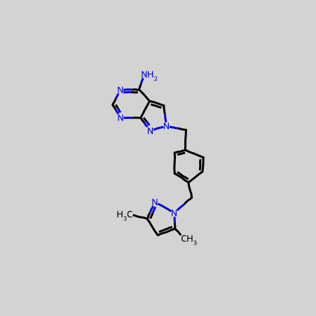 Cc1cc(C)n(Cc2ccc(Cn3cc4c(N)ncnc4n3)cc2)n1